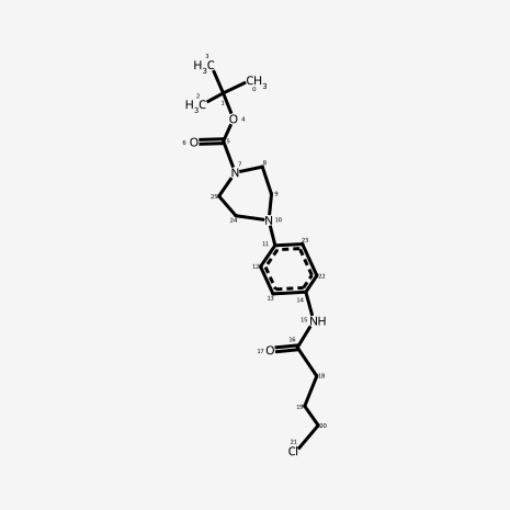 CC(C)(C)OC(=O)N1CCN(c2ccc(NC(=O)CCCCl)cc2)CC1